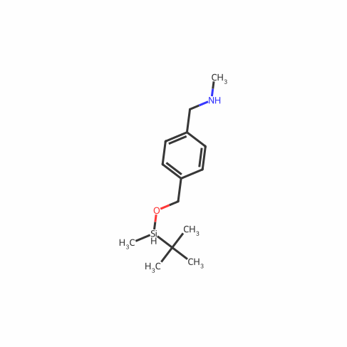 CNCc1ccc(CO[SiH](C)C(C)(C)C)cc1